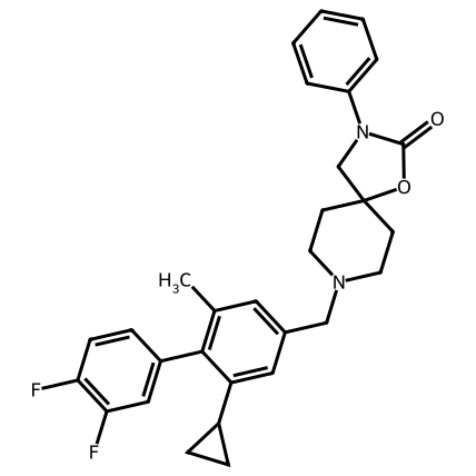 Cc1cc(CN2CCC3(CC2)CN(c2ccccc2)C(=O)O3)cc(C2CC2)c1-c1ccc(F)c(F)c1